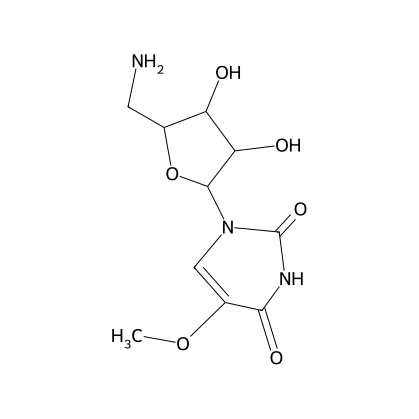 COc1cn(C2OC(CN)C(O)C2O)c(=O)[nH]c1=O